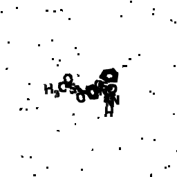 CC(=O)SCC(=O)c1ccc(N(c2cn[nH]c2)S(=O)(=O)c2ccccc2)cc1